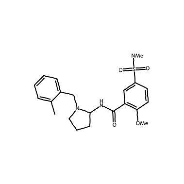 CNS(=O)(=O)c1ccc(OC)c(C(=O)NC2CCCN2Cc2ccccc2C)c1